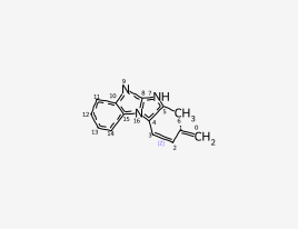 C=C/C=C\c1c(C)[nH]c2nc3ccccc3n12